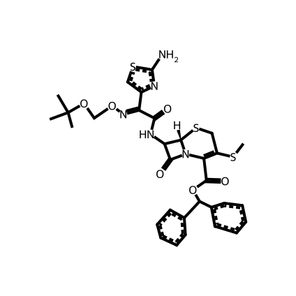 CSC1=C(C(=O)OC(c2ccccc2)c2ccccc2)N2C(=O)C(NC(=O)C(=NOCOC(C)(C)C)c3csc(N)n3)[C@@H]2SC1